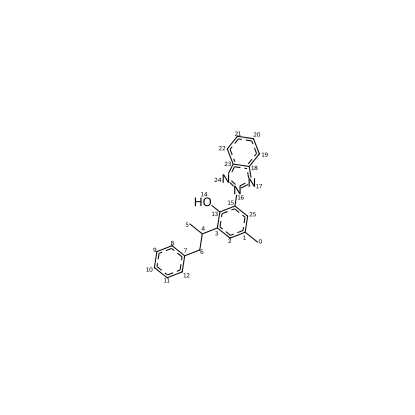 Cc1cc(C(C)Cc2ccccc2)c(O)c(-n2nc3ccccc3n2)c1